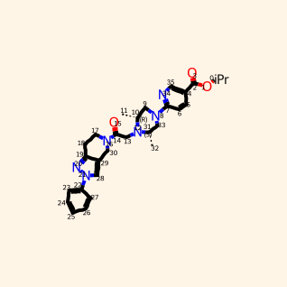 CC(C)OC(=O)c1ccc(N2C[C@@H](C)N(CC(=O)N3CCc4nn(-c5ccccc5)cc4C3)[C@@H](C)C2)nc1